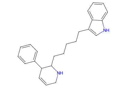 C1=CC(c2ccccc2)C(CCCCCc2c[nH]c3ccccc23)NC1